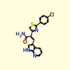 NC(=O)C(=Cc1c[nH]c2ncccc12)c1csc(-c2ccc(Cl)cc2)n1